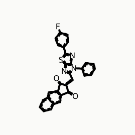 O=C1C(=Cc2nc3sc(-c4ccc(F)cc4)nc3n2-c2ccccc2)C(=O)c2cc3ccccc3cc21